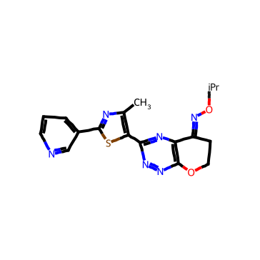 Cc1nc(-c2cccnc2)sc1-c1nnc2c(n1)/C(=N/OC(C)C)CCO2